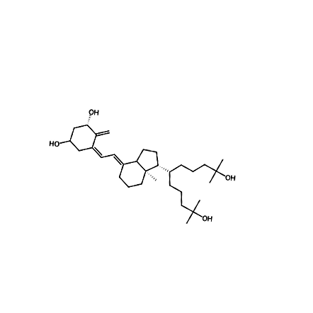 C=C1/C(=C\C=C2/CCC[C@@]3(C)C2CC[C@@H]3C(CCCC(C)(C)O)CCCC(C)(C)O)CC(O)C[C@@H]1O